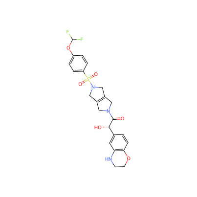 O=C([C@@H](O)c1ccc2c(c1)NCCO2)N1CC2=C(C1)CN(S(=O)(=O)c1ccc(OC(F)F)cc1)C2